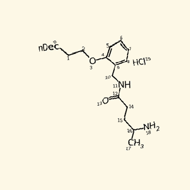 CCCCCCCCCCCCOc1ccccc1CNC(=O)CCC(C)N.Cl